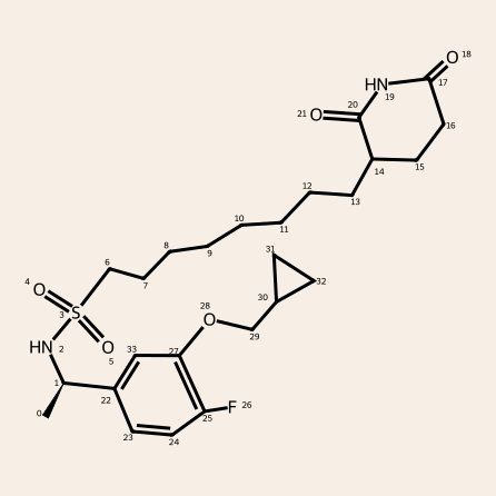 C[C@@H](NS(=O)(=O)CCCCCCCCC1CCC(=O)NC1=O)c1ccc(F)c(OCC2CC2)c1